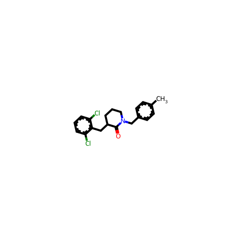 Cc1ccc(CN2CCCC(Cc3c(Cl)cccc3Cl)C2=O)cc1